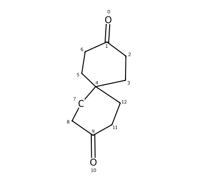 O=C1CCC2(CC1)CCC(=O)CC2